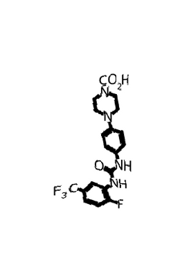 O=C(Nc1ccc(N2CCN(C(=O)O)CC2)cc1)Nc1cc(C(F)(F)F)ccc1F